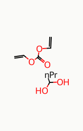 C=COC(=O)OC=C.CCCC(O)O